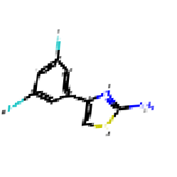 Nc1nc(-c2cc(F)cc(F)c2)cs1